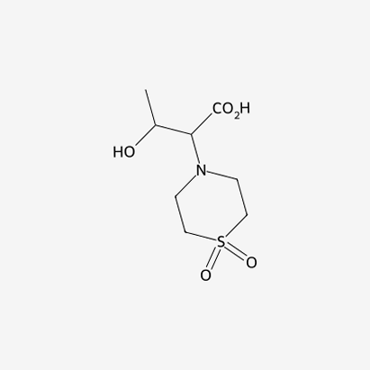 CC(O)C(C(=O)O)N1CCS(=O)(=O)CC1